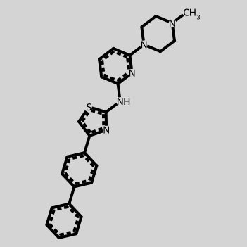 CN1CCN(c2cccc(Nc3nc(-c4ccc(-c5ccccc5)cc4)cs3)n2)CC1